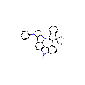 C[Si]1(C)c2ccccc2-c2c1c1cccc3c1c1c(ccc4c5c(ccn5-c5ccccc5)n2c41)n3I